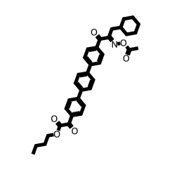 CCCCOC(=O)C(=O)c1ccc(-c2ccc(-c3ccc(C(=O)C(CC4CCCCC4)=NOC(C)=O)cc3)cc2)cc1